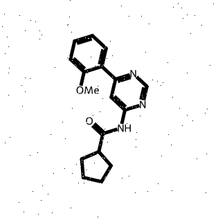 COc1ccccc1-c1cc(NC(=O)C2CCCC2)ncn1